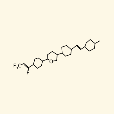 CC1CCC(/C=C/C2CCC(C3CCC(C4CCC(/C(F)=C/C(F)(F)F)CC4)OC3)CC2)CC1